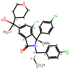 CO[C@]1(c2ccc(Cl)cc2)c2c(F)cc(C(C)(O)C3CCOCC3)cc2C(=O)N1[C@@H](CC(=O)O)c1ccc(Cl)cc1